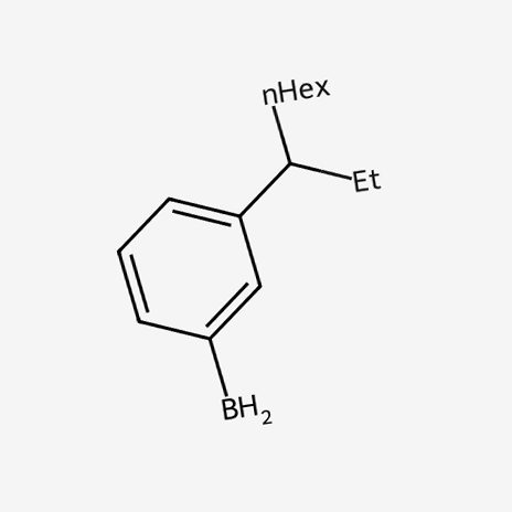 Bc1cccc(C(CC)CCCCCC)c1